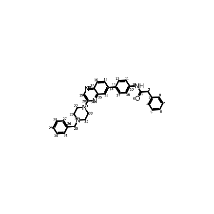 O=C(Cc1ccccc1)Nc1ccc(-c2ccc3ncc(N4CCN(Cc5ccccc5)CC4)nc3c2)cc1